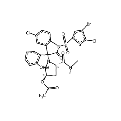 COc1ccccc1C1(N2C[C@H](OC(=O)C(F)(F)F)C[C@H]2C(=O)N(C)C)C(=O)N(S(=O)(=O)c2cc(Br)c(Cl)s2)c2ccc(Cl)cc21